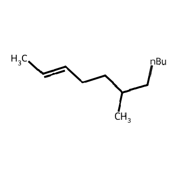 C[CH]CCCC(C)CCC=CC